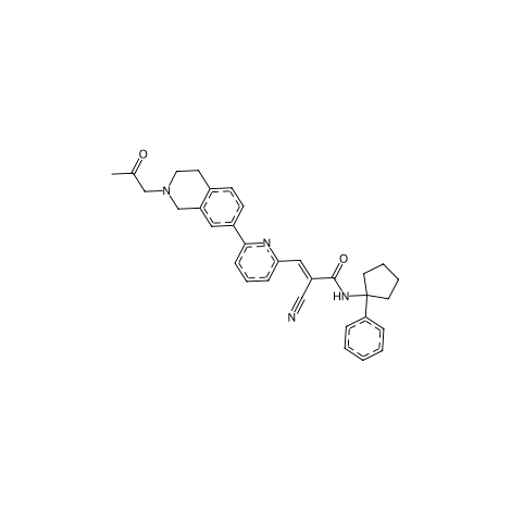 CC(=O)CN1CCc2ccc(-c3cccc(/C=C(\C#N)C(=O)NC4(c5ccccc5)CCCC4)n3)cc2C1